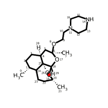 C[C@@H]1CC[C@H]2C[C@@](C)(OCCN3CCNCC3)O[C@@H]3O[C@]4(C)CCC1[C@@]23OO4